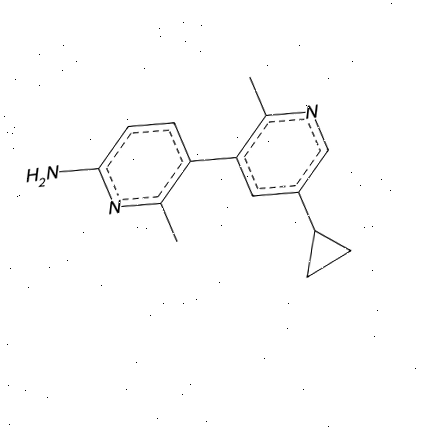 Cc1ncc(C2CC2)cc1-c1ccc(N)nc1C